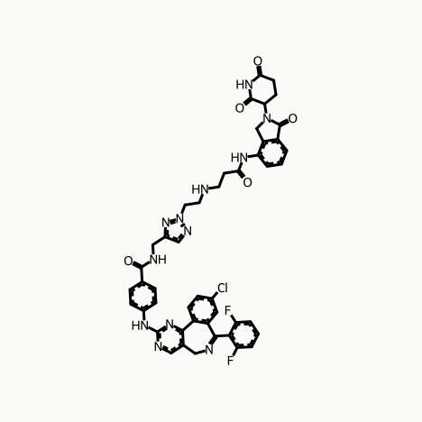 O=C1CCC(N2Cc3c(NC(=O)CCNCCn4ncc(CNC(=O)c5ccc(Nc6ncc7c(n6)-c6ccc(Cl)cc6C(c6c(F)cccc6F)=NC7)cc5)n4)cccc3C2=O)C(=O)N1